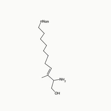 CCCCCCCCCCCCCCCC/C=C(\C)C(N)CO